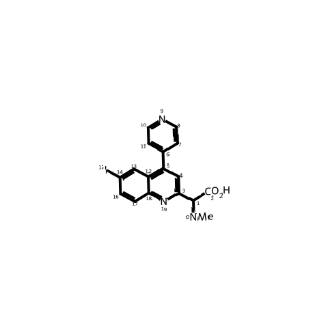 CNC(C(=O)O)c1cc(-c2ccncc2)c2cc(I)ccc2n1